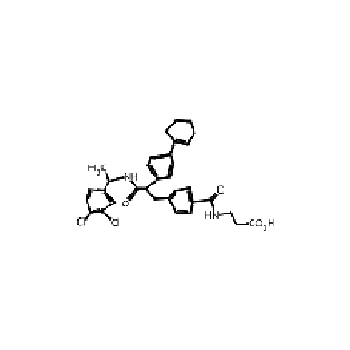 CC(NC(=O)C(Cc1ccc(C(=O)NCCC(=O)O)cc1)c1ccc(C2=CCCCC2)cc1)c1ccc(Cl)c(Cl)c1